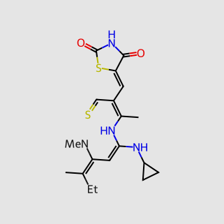 CC/C(C)=C(\C=C(/N/C(C)=C(C=S)/C=C1\SC(=O)NC1=O)NC1CC1)NC